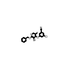 N#Cc1cc(Cl)cc(Oc2c(I)cnc(OCc3ccccc3)c2Br)c1